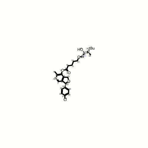 Cc1ncc2c(c1OC(=O)CCCCO/N=[N+](\O)N(C)C(C)(C)C)CO[C@H]2c1ccc(Cl)cc1